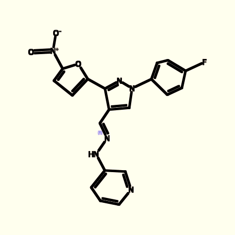 O=[N+]([O-])c1ccc(-c2nn(-c3ccc(F)cc3)cc2/C=N/Nc2cccnc2)o1